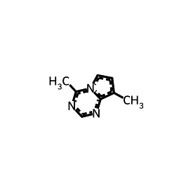 Cc1ccn2c(C)ncnc12